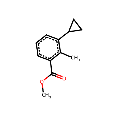 COC(=O)c1cccc(C2CC2)c1C